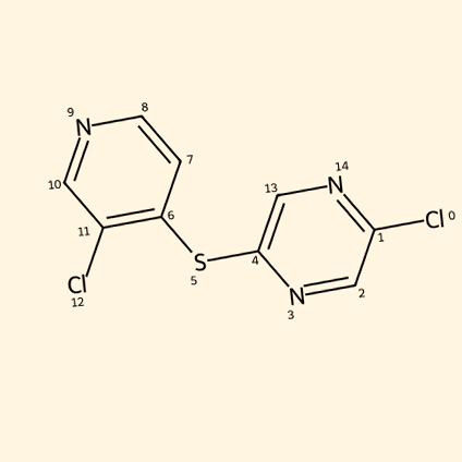 Clc1cnc(Sc2ccncc2Cl)cn1